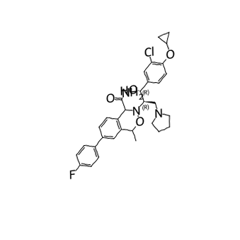 CC1ON([C@H](CN2CCCC2)[C@H](O)c2ccc(OC3CC3)c(Cl)c2)C(C(N)=O)c2ccc(-c3ccc(F)cc3)cc21